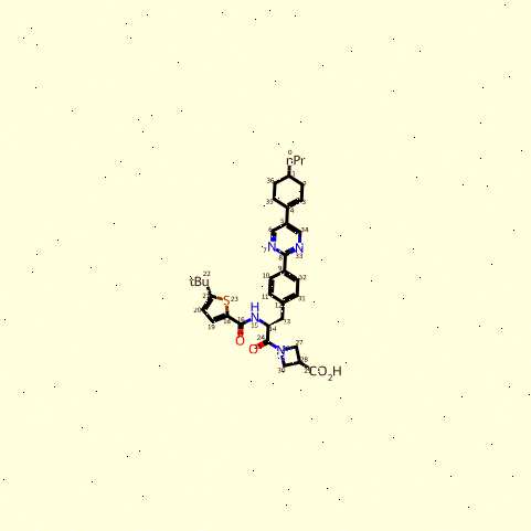 CCCC1CC=C(c2cnc(-c3ccc(C[C@H](NC(=O)c4ccc(C(C)(C)C)s4)C(=O)N4CC(C(=O)O)C4)cc3)nc2)CC1